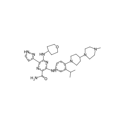 CC(C)c1cc(Nc2nc(NC3CCOCC3)c(-c3cc[nH]n3)nc2C(N)=O)ccc1N1CCC(N2CCN(C)CC2)CC1